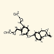 CB1OCc2cc(Oc3ccc(COC=O)c(COC=O)n3)ccc21